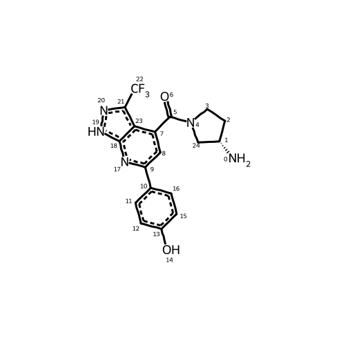 N[C@H]1CCN(C(=O)c2cc(-c3ccc(O)cc3)nc3[nH]nc(C(F)(F)F)c23)C1